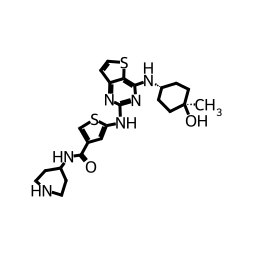 C[C@]1(O)CC[C@H](Nc2nc(Nc3cc(C(=O)NC4CCNCC4)cs3)nc3ccsc23)CC1